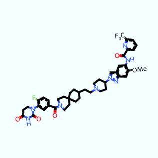 COc1cc2nn(C3CCN(CCC4CCC5(CC4)CCN(C(=O)c4ccc(F)c(N6CCC(=O)NC6=O)c4)CC5)CC3)cc2cc1NC(=O)c1cccc(C(F)(F)F)n1